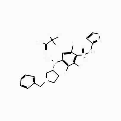 Cc1c(N(C)[C@H]2CCN(Cc3ccccc3)C2)cc(F)c(S(=O)(=O)Nc2ccsn2)c1F.O=C(O)C(F)(F)F